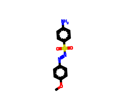 COc1ccc(N=NS(=O)(=O)c2ccc(N)cc2)cc1